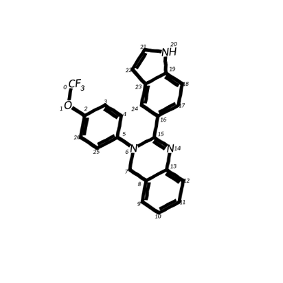 FC(F)(F)Oc1ccc(N2Cc3ccccc3N=C2c2ccc3[nH]ccc3c2)cc1